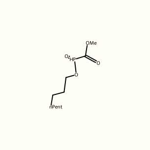 CCCCCCCCO[PH](=O)C(=O)OC